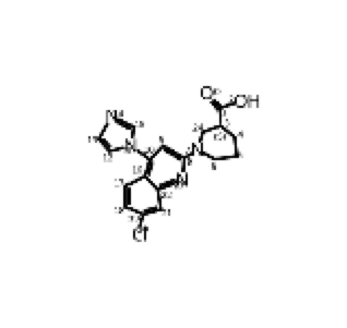 O=C(O)[C@H]1CCCN(c2cc(-n3ccnc3)c3ccc(Cl)cc3n2)C1